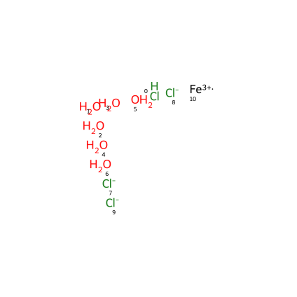 Cl.O.O.O.O.O.O.[Cl-].[Cl-].[Cl-].[Fe+3]